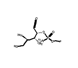 NP(=O)(OF)O[C@@H](C=O)[C@H](O)[C@H](O)CO